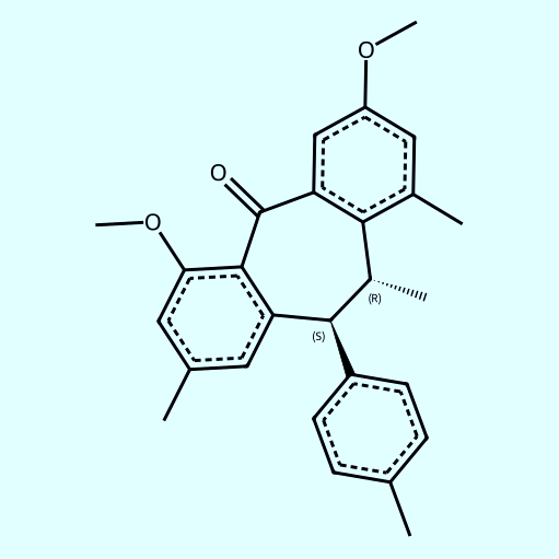 COc1cc(C)c2c(c1)C(=O)c1c(OC)cc(C)cc1[C@H](c1ccc(C)cc1)[C@H]2C